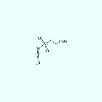 [CH2]CCCCCS(=O)(=O)N=[N+]=[N-]